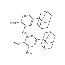 COc1ccc(C23CC4CC(CC(C4)C2)C3)cc1C(=O)O.COc1ccc(C23CC4CC(CC(C4)C2)C3)cc1C(=O)O